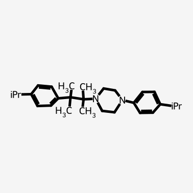 CC(C)c1ccc(N2CCN(C(C)(C)C(C)(C)c3ccc(C(C)C)cc3)CC2)cc1